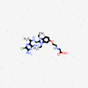 C=C(NCc1n(CC)c2cc(OCCNCC(=O)O)ccc2[n+]1CC)c1nc(Cl)c(N)nc1N